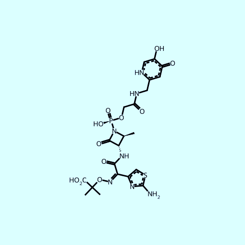 C[C@H]1[C@H](NC(=O)/C(=N\OC(C)(C)C(=O)O)c2csc(N)n2)C(=O)N1[P@@](=O)(O)OCC(=O)NCc1cc(=O)c(O)c[nH]1